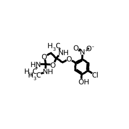 CNC1(COc2cc(O)c(Cl)cc2[N+](=O)[O-])COC(NC)(NC)O1